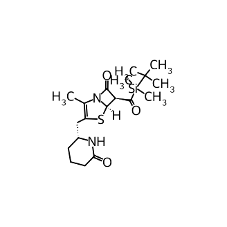 CC1=C(C[C@H]2CCCC(=O)N2)S[C@@H]2[C@H](C(=O)[Si](C)(C)C(C)(C)C)C(=O)N12